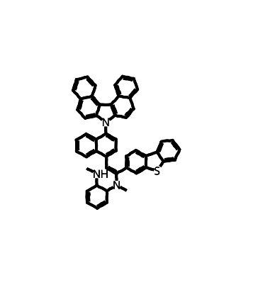 CNC1C=CC=CC1N(C)/C(=C/c1ccc(-n2c3ccc4ccccc4c3c3c4ccccc4ccc32)c2ccccc12)c1ccc2c(c1)sc1ccccc12